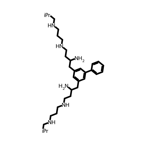 CC(C)CNCCCNCCC(N)Cc1cc(CC(N)CCNCCCNCC(C)C)cc(-c2ccccc2)c1